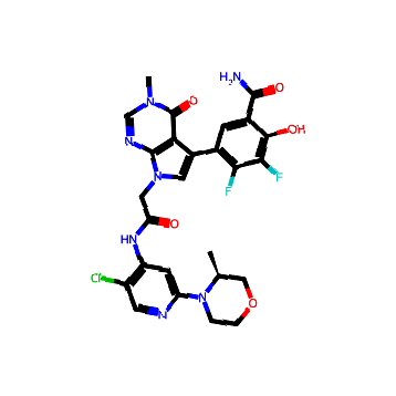 C[C@H]1COCCN1c1cc(NC(=O)Cn2cc(-c3cc(C(N)=O)c(O)c(F)c3F)c3c(=O)n(C)cnc32)c(Cl)cn1